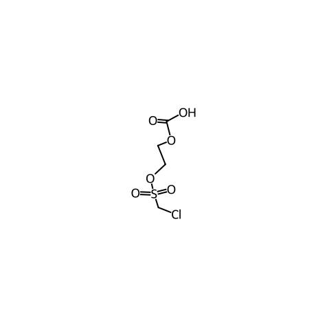 O=C(O)OCCOS(=O)(=O)CCl